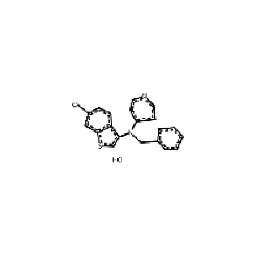 Cl.Clc1ccc2c(N(Cc3ccccc3)c3ccncc3)csc2c1